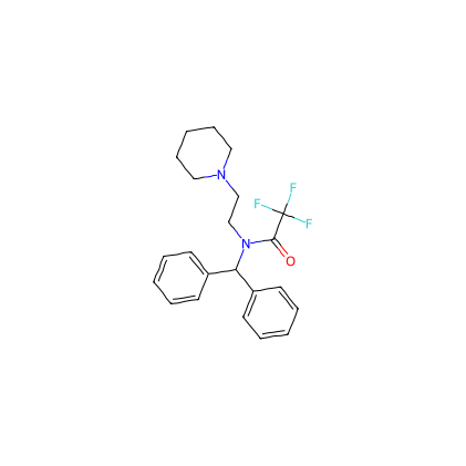 O=C(N(CCN1CCCCC1)C(c1ccccc1)c1ccccc1)C(F)(F)F